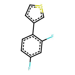 Fc1ccc(-c2ccsc2)c(F)c1